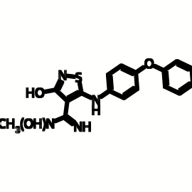 CN(O)C(=N)c1c(O)nsc1Nc1ccc(Oc2ccccc2)cc1